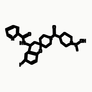 CB(O)N1CCC(C(=O)N2CCC3(CC2)CC(NC(=O)c2ccccn2)c2cc(F)ccc2O3)CC1